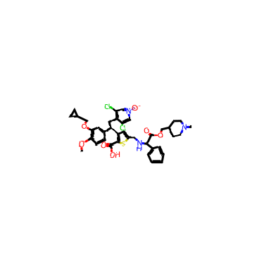 COc1ccc(C(Cc2c(Cl)c[n+]([O-])cc2Cl)c2cc(CNC(C(=O)OCC3CCN(C)CC3)c3ccccc3)sc2C(=O)O)cc1OCC1CC1